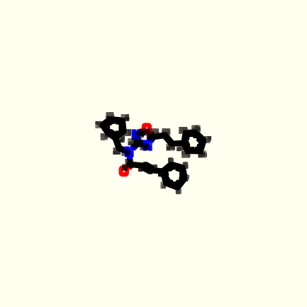 O=C(C#Cc1ccccc1)N(Cc1ccccc1)c1noc(CCc2ccccc2)n1